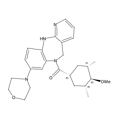 CO[C@H]1[C@H](C)C[C@H](C(=O)N2Cc3cccnc3Nc3ccc(N4CCOCC4)cc32)C[C@@H]1C